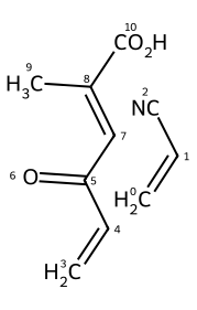 C=CC#N.C=CC(=O)C=C(C)C(=O)O